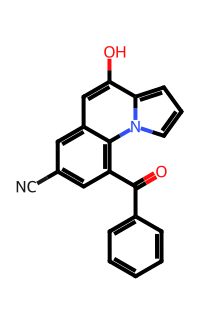 N#Cc1cc(C(=O)c2ccccc2)c2c(c1)cc(O)c1cccn12